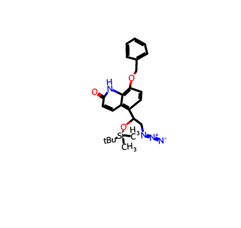 CC(C)(C)[Si](C)(C)OC(CN=[N+]=[N-])c1ccc(OCc2ccccc2)c2[nH]c(=O)ccc12